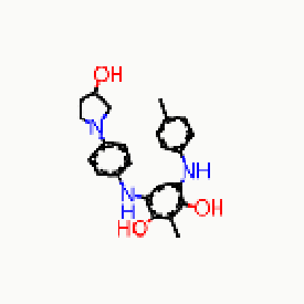 Cc1ccc(Nc2cc(Nc3ccc(N4CCC(O)C4)cc3)c(O)c(C)c2O)cc1